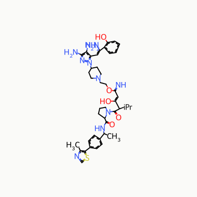 Cc1ncsc1-c1ccc(C(C)NC(=O)C2CCCN2C(=O)C(/C(O)=C/C(=N)OCCN2CCC(n3nc(N)c(N)c3/C=C(\N)c3ccccc3O)CC2)C(C)C)cc1